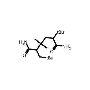 CC(C)(C)CC(C(N)=O)C(C)(C)CC(C(N)=O)C(C)(C)C